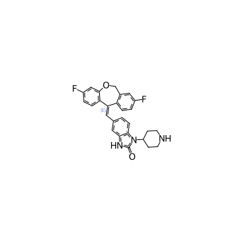 O=c1[nH]c2cc(/C=C3\c4ccc(F)cc4COc4cc(F)ccc43)ccc2n1C1CCNCC1